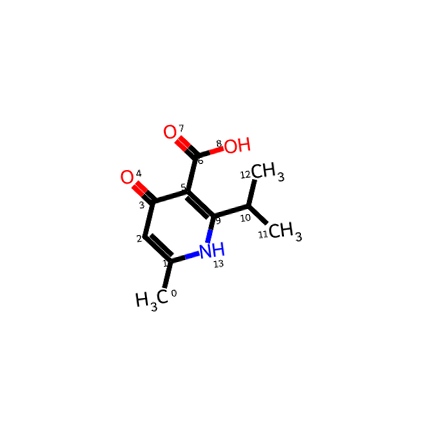 Cc1cc(=O)c(C(=O)O)c(C(C)C)[nH]1